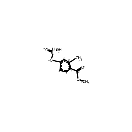 COC(=O)c1ccc(O[PH](=O)O)cc1C